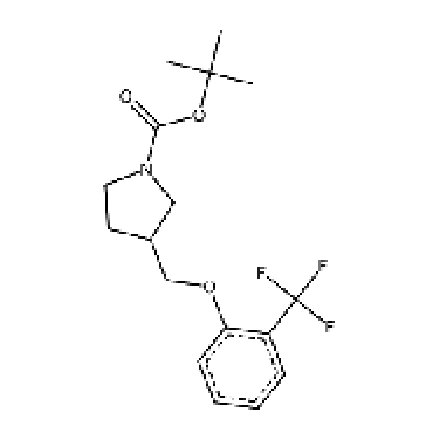 CC(C)(C)OC(=O)N1CCC(COc2ccccc2C(F)(F)F)C1